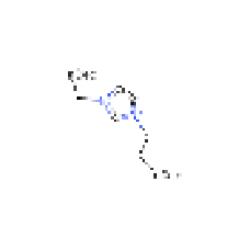 CCCCCCCCCCCC[n+]1ccn(CCCCCCCCCCC)c1